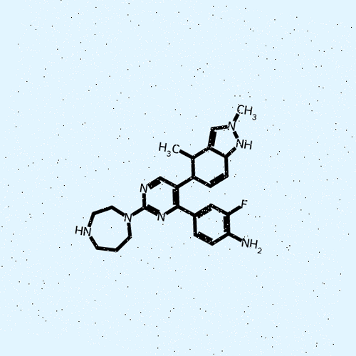 CC1C2=CN(C)NC2C=CC1c1cnc(N2CCCNCC2)nc1-c1ccc(N)c(F)c1